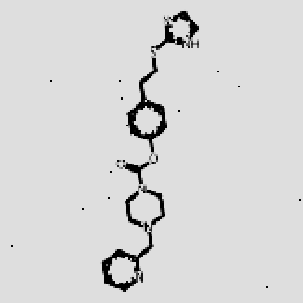 O=C(Oc1ccc(CCSc2ncc[nH]2)cc1)N1CCN(Cc2ccccn2)CC1